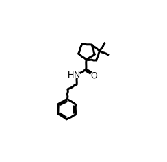 CC1(C)CC2(C(=O)NCCc3ccccc3)CCC1C2